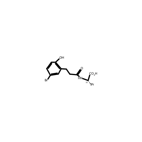 CC(C)[C@H](NC(=O)CCc1cc(Br)ccc1O)C(=O)O